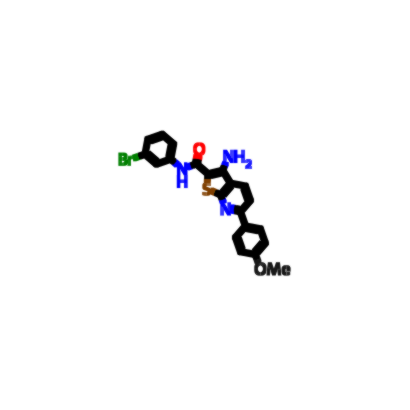 COc1ccc(-c2ccc3c(N)c(C(=O)Nc4cccc(Br)c4)sc3n2)cc1